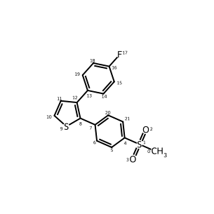 CS(=O)(=O)c1ccc(-c2sccc2-c2ccc(F)cc2)cc1